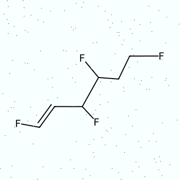 FC=CC(F)C(F)CCF